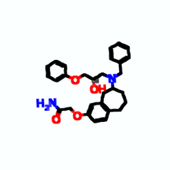 NC(=O)COc1ccc2c(c1)CC(N(Cc1ccccc1)C[C@H](O)COc1ccccc1)CCC2